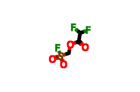 O=C(OCS(=O)(=O)F)C(F)F